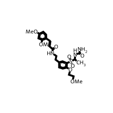 COCCOc1ccc(CCNC(=O)C=Cc2ccc(OC)cc2OC)cc1S(=O)(=O)C(C)NC(N)=O